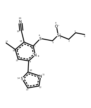 CCC[S+]([O-])CSc1nc(-c2nccs2)cc(C)c1C#N